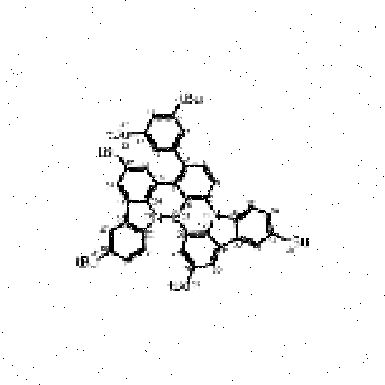 CC(C)(C)c1cc(-c2ccc3c4c2-c2cc(C(C)(C)C)cc5c6cc(C(C)(C)C)ccc6n(c25)B4c2cc(C(C)(C)C)cc4c5cc(C(C)(C)C)ccc5n-3c24)cc(C(C)(C)C)c1